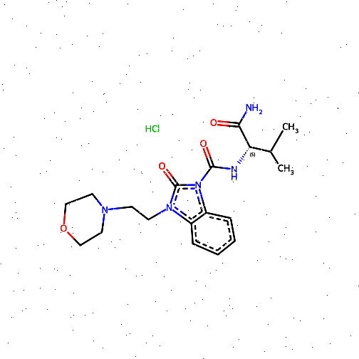 CC(C)[C@H](NC(=O)n1c(=O)n(CCN2CCOCC2)c2ccccc21)C(N)=O.Cl